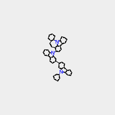 C1=Cc2c(-n3c4ccccc4c4ccc(-c5ccc6c7ccccc7n(-c7ccccc7)c6c5)cc43)ccc3c4ccccc4n(c23)-c2ccccc21